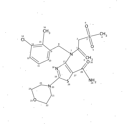 C=C(CS(C)(=O)=O)N(Cc1cccc(Cl)c1C)c1nc(N2CCOCC2)sc1C(N)=O